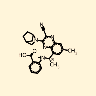 Cc1cc([C@@H](C)Nc2ccccc2C(=O)O)c2nc(N3CC4CCC3C4)c(C#N)nc2c1